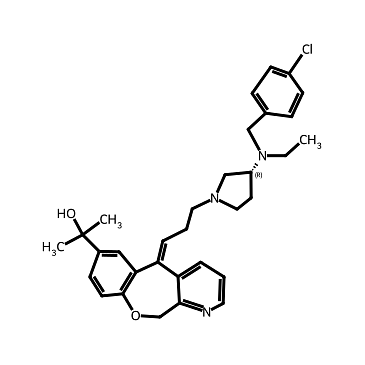 CCN(Cc1ccc(Cl)cc1)[C@@H]1CCN(CCC=C2c3cc(C(C)(C)O)ccc3OCc3ncccc32)C1